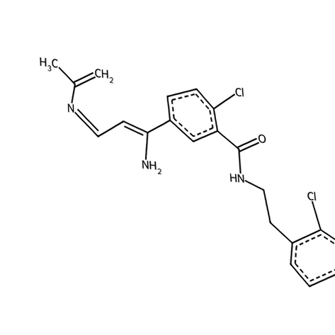 C=C(C)/N=C\C=C(/N)c1ccc(Cl)c(C(=O)NCCc2ccccc2Cl)c1